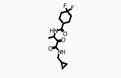 CC(NC(=O)C1CCC(F)(F)CC1)C(=O)C(=O)NCC1CC1